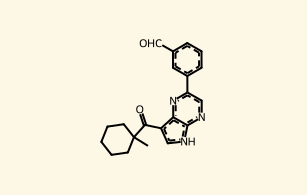 CC1(C(=O)c2c[nH]c3ncc(-c4cccc(C=O)c4)nc23)CCCCC1